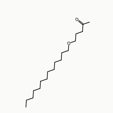 CCCCCCCCCCCCCOCCCC(C)=O